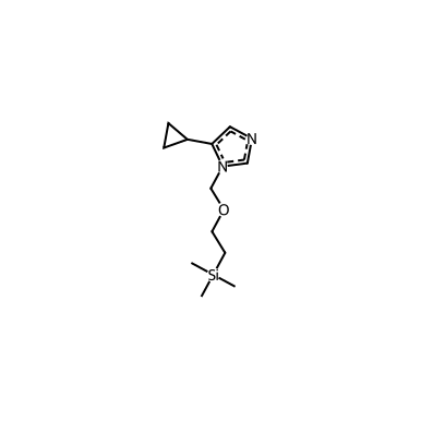 C[Si](C)(C)CCOCn1cncc1C1CC1